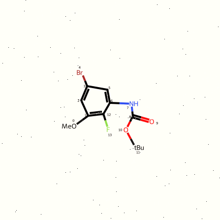 COc1cc(Br)cc(NC(=O)OC(C)(C)C)c1F